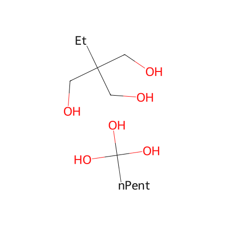 CCC(CO)(CO)CO.CCCCCC(O)(O)O